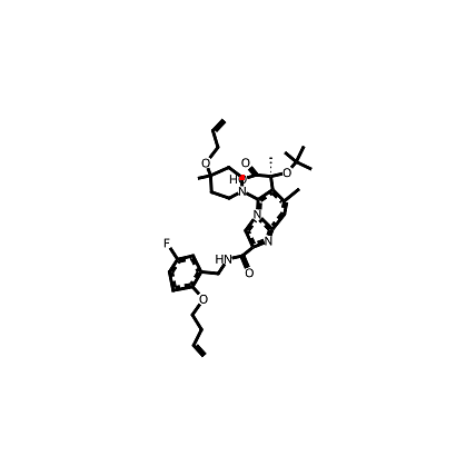 C=CCCOc1ccc(F)cc1CNC(=O)c1cn2c(N3CCC(C)(OCC=C)CC3)c([C@](C)(OC(C)(C)C)C(=O)O)c(C)cc2n1